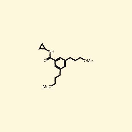 COCCCc1cc(CCCOC)cc(C(=O)NC2CC2)c1